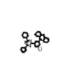 Clc1cc(-c2nc(-c3ccccc3)nc(-c3ccccc3)n2)cc(-c2c3ccccc3cc3ccccc23)c1